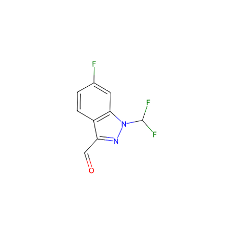 O=Cc1nn(C(F)F)c2cc(F)ccc12